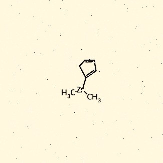 [CH3][Zr]([CH3])[C]1=CC=CC1